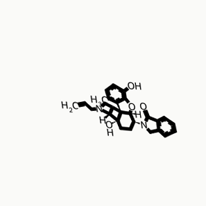 C=CCN1CC2[C@@H]1[C@]1(O)CC[C@@H](N3Cc4ccccc4C3=O)[C@@H]3Oc4c(O)ccc(C)c4[C@@]231